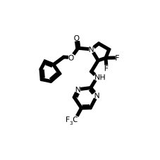 O=C(OCc1ccccc1)N1CCC(F)(F)C1CNc1ncc(C(F)(F)F)cn1